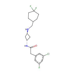 O=C(Cc1cc(F)cc(Cl)c1)N[C@H]1C[C@H](NCC2CCC(F)(F)CC2)C1